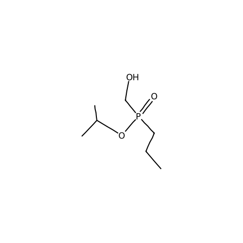 CCCP(=O)(CO)OC(C)C